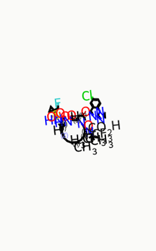 C[C@@H]1CC/C=C\[C@@H]2C[C@@]2(C(=O)NS(=O)(=O)C2(CF)CC2)NC(=O)[C@@H]2C[C@@H](Oc3nc4nccn4c4ccc(Cl)cc34)CN2C(=O)[C@@H](N(C(=O)O)C(C)(C)C(F)(F)F)[C@H](C)C1